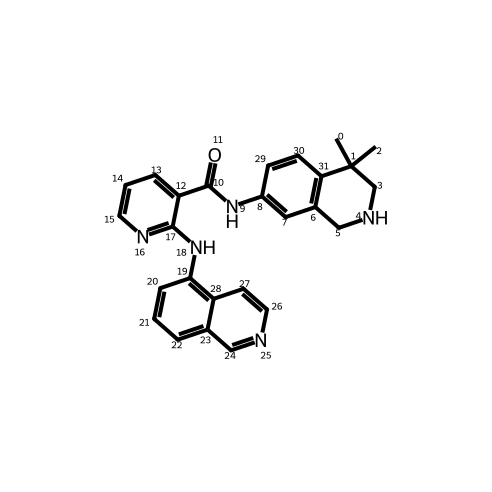 CC1(C)CNCc2cc(NC(=O)c3cccnc3Nc3cccc4cnccc34)ccc21